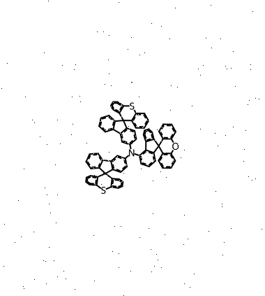 c1ccc2c(c1)Oc1ccccc1C21c2ccccc2-c2c(N(c3ccc4c(c3)-c3ccccc3C43c4ccccc4Sc4ccccc43)c3ccc4c(c3)-c3ccccc3C43c4ccccc4Sc4ccccc43)cccc21